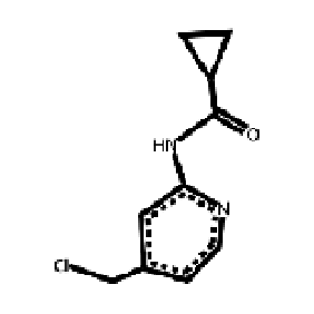 O=C(Nc1cc(CCl)ccn1)C1CC1